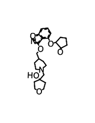 O=C1CCCC1Oc1cccc2onc(OCC3CCN(CC4(O)CCOCC4)CC3)c12